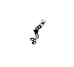 N#CC1(Cc2ccc(OC(F)(F)F)cc2)CCN(C(=O)c2cccnc2-c2ccncc2)CC1